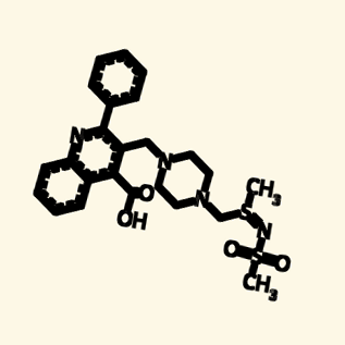 C/S(CN1CCN(Cc2c(-c3ccccc3)nc3ccccc3c2C(=O)O)CC1)=N/S(C)(=O)=O